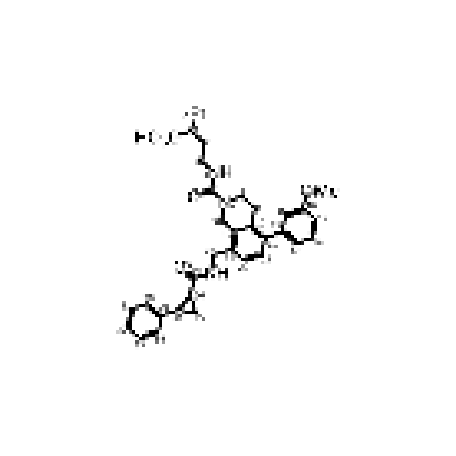 CCC(CCNC(=O)N1CCc2c(-c3cccc(OC)c3)ccc(CNC(=O)C3CC3c3ccccc3)c2C1)C(=O)O